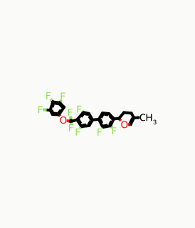 CC1=COC(c2ccc(-c3cc(F)c(C(F)(F)Oc4cc(F)c(F)c(F)c4)c(F)c3)c(F)c2F)CC1